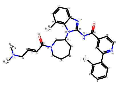 Cc1ccccc1-c1cc(C(=O)Nc2nc3cccc(C)c3n2C2CCCCN(C(=O)/C=C/CN(C)C)C2)ccn1